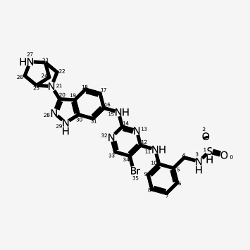 O=[SH](=O)NCc1ccccc1Nc1nc(Nc2ccc3c(N4CC5CC4CN5)n[nH]c3c2)ncc1Br